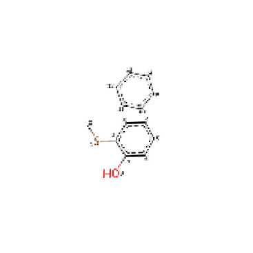 CSc1ccccc1O.c1ccccc1